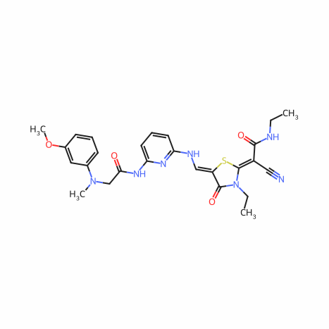 CCNC(=O)C(C#N)=c1sc(=CNc2cccc(NC(=O)CN(C)c3cccc(OC)c3)n2)c(=O)n1CC